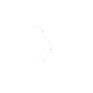 CNCCCCCCOC(C)(C)CCCC(C)CC(C)=O